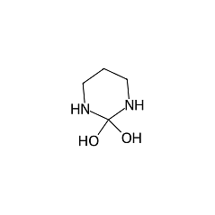 OC1(O)NCCCN1